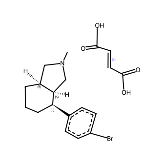 CN1C[C@@H]2CCC[C@H](c3ccc(Br)cc3)[C@@H]2C1.O=C(O)/C=C/C(=O)O